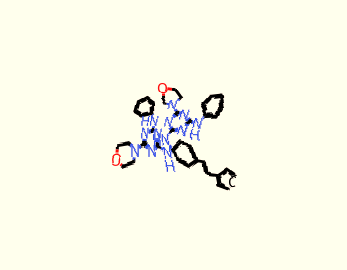 C(=Cc1ccccc1)C1=CCC(Nc2nc(Nc3ccccc3)nc(N3CCOCC3)n2)(Nc2nc(Nc3ccccc3)nc(N3CCOCC3)n2)C=C1